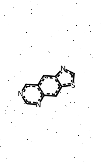 [c]1ncc2cc3ncsc3cc2n1